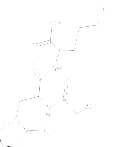 CSCCC(NC(=O)C(Cc1cncn1C)NC(=O)CN)C(=O)O